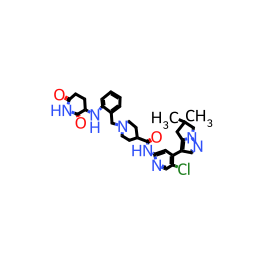 CC1(C)Cc2c(-c3cc(NC(=O)C4CCN(Cc5ccccc5NC5CCC(=O)NC5=O)CC4)ncc3Cl)cnn2C1